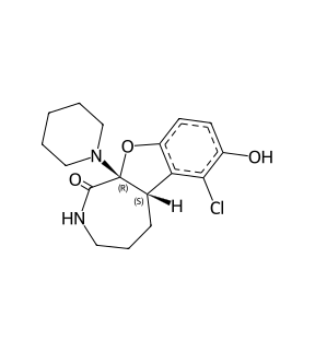 O=C1NCCC[C@H]2c3c(ccc(O)c3Cl)O[C@@]12N1CCCCC1